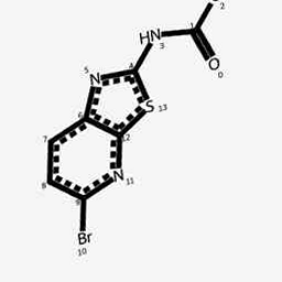 O=C(O)Nc1nc2ccc(Br)nc2s1